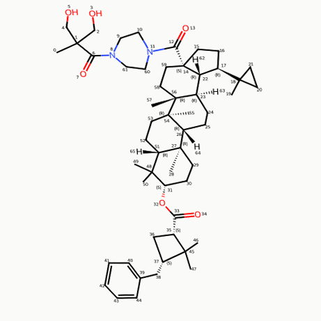 CC(CO)(CO)C(=O)N1CCN(C(=O)[C@]23CC[C@@H](C4(C)CC4)[C@@H]2[C@H]2CC[C@@H]4[C@@]5(C)CC[C@H](OC(=O)[C@H]6C[C@@H](Cc7ccccc7)C6(C)C)C(C)(C)[C@@H]5CC[C@@]4(C)[C@]2(C)CC3)CC1